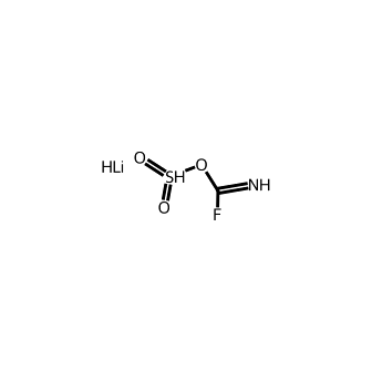 N=C(F)O[SH](=O)=O.[LiH]